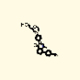 C/C(=C/N(C)c1ccc(N2CCOC(CCO)C2)cc1)c1c(C=O)cccc1-c1ccc(C#N)cc1